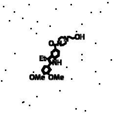 CCc1c(-c2ccc(OC)c(OC)c2)[nH]c2ccc(C(=O)N3CCN(CCO)CC3)cc12